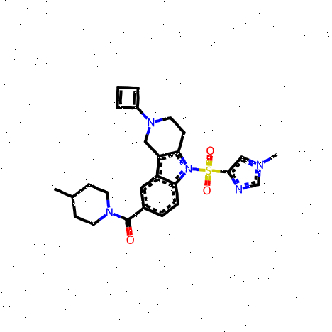 CC1CCN(C(=O)c2ccc3c(c2)c2c(n3S(=O)(=O)c3cn(C)cn3)CCN(C3=CC=C3)C2)CC1